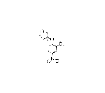 COc1cc([N+](=O)[O-])ccc1O[C@H]1CCOC1